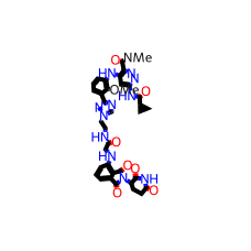 CNC(=O)c1nnc(NC(=O)C2CC2)cc1Nc1cccc(-c2ncn(CCNC(=O)CNc3cccc4c3C(=O)N(C3CCC(=O)NC3=O)C4=O)n2)c1OC